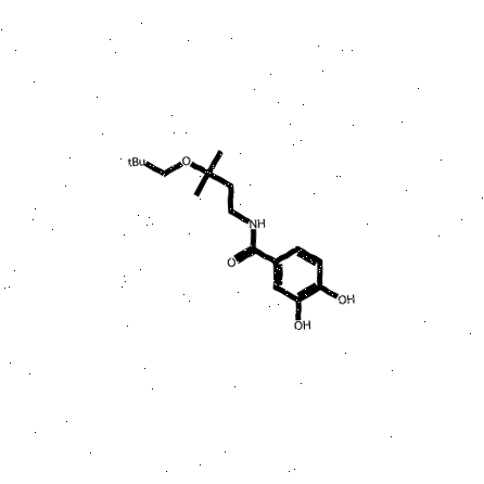 CC(C)(C)COC(C)(C)CCNC(=O)c1ccc(O)c(O)c1